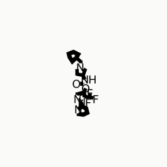 O=C(NC1CCN(Cc2ccccc2)C1)Oc1cnn(-c2ccccn2)c1C(F)(F)F